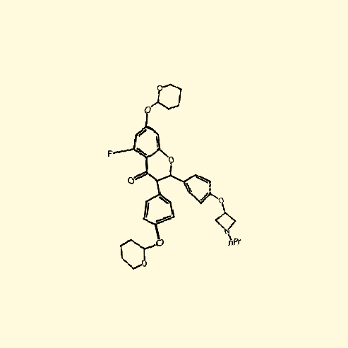 CCCN1CC(Oc2ccc(C3Oc4cc(OC5CCCCO5)cc(F)c4C(=O)C3c3ccc(OC4CCCCO4)cc3)cc2)C1